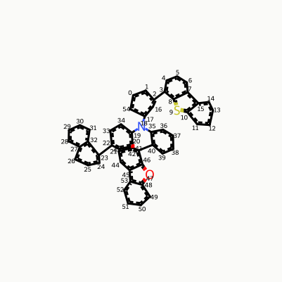 c1cc(-c2cccc3c2sc2ccccc23)cc(N(c2ccc(-c3cccc4ccccc34)cc2)c2ccccc2-c2cccc3c2oc2ccccc23)c1